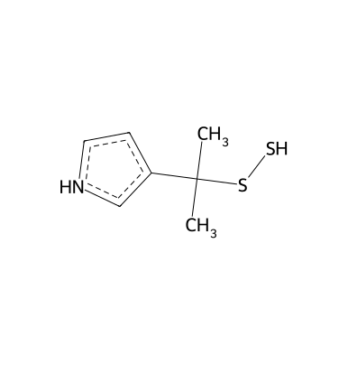 CC(C)(SS)c1cc[nH]c1